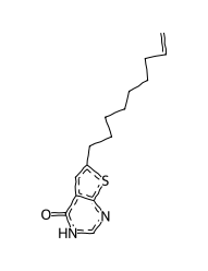 C=CCCCCCCCc1cc2c(=O)[nH]cnc2s1